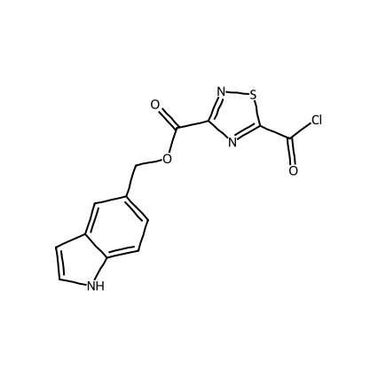 O=C(OCc1ccc2[nH]ccc2c1)c1nsc(C(=O)Cl)n1